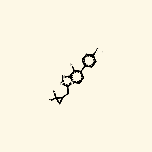 Cc1ccc(-c2ccn3c(CC4CC4(F)F)nnc3c2F)cc1